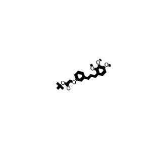 COc1ccc(CCCc2cccc(OCC(=O)OC(C)(C)C)c2)c(OC)c1OC